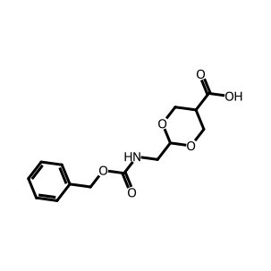 O=C(NCC1OCC(C(=O)O)CO1)OCc1ccccc1